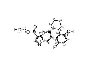 CCOC(=O)c1cnn2ccc(N3CCCCC3c3cc(F)ccc3O)nc12